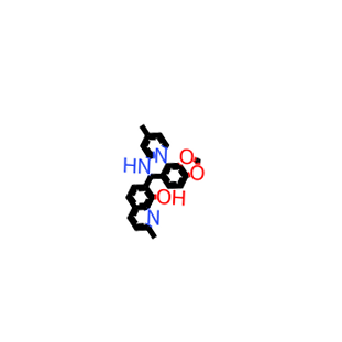 Cc1ccnc(NC(c2ccc3c(c2)OCO3)c2ccc3ccc(C)nc3c2O)c1